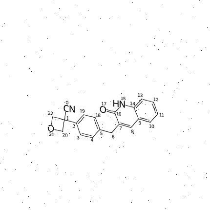 N#CC1(c2ccc(Cc3cc4ccccc4[nH]c3=O)cc2)COC1